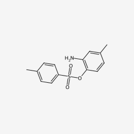 Cc1ccc(S(=O)(=O)Oc2ccc(C)cc2N)cc1